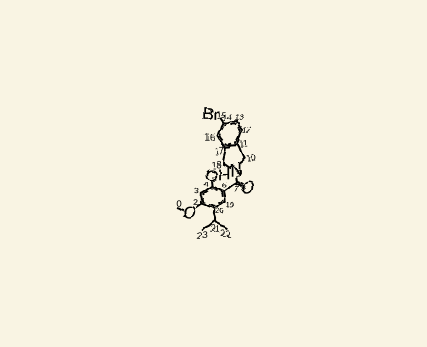 COc1cc(O)c(C(=O)N2Cc3ccc(Br)cc3C2)cc1C(C)C